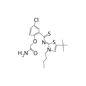 CCCCn1cc(C(C)(C)C)sc1=NC(=S)c1cc(Cl)ccc1OCC(N)=O